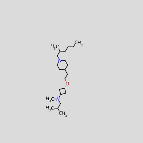 CCCCC(C)CN1CCC(CCO[C@H]2C[C@H](N(C)CC(C)C)C2)CC1